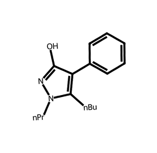 CCCCc1c(-c2ccccc2)c(O)nn1CCC